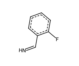 N=Cc1ccccc1F